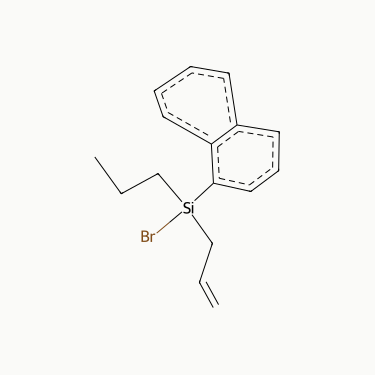 C=CC[Si](Br)(CCC)c1cccc2ccccc12